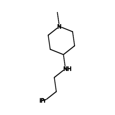 CC(C)CCNC1CCN(C)CC1